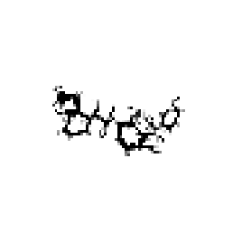 O=C(Nc1ccc(Cl)c(S(=O)(=O)[C@H]2CCCNC2)c1O)NC1CCCc2occc21